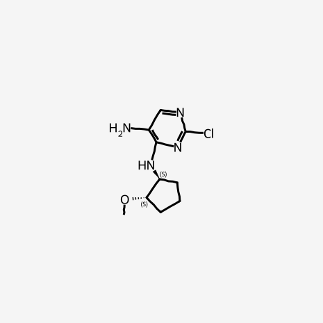 CO[C@H]1CCC[C@@H]1Nc1nc(Cl)ncc1N